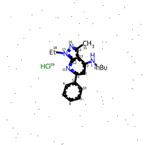 CCCCNc1cc(-c2ccccc2)nc2c1c(C)nn2CC.Cl